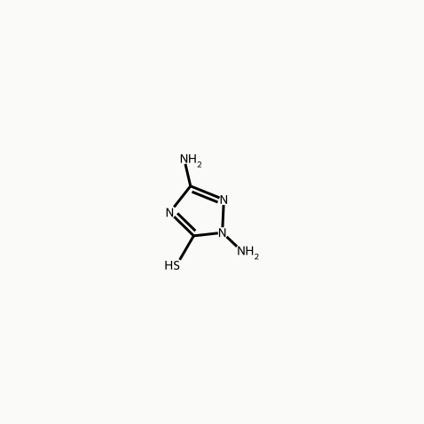 Nc1nc(S)n(N)n1